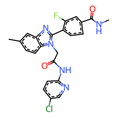 CNC(=O)c1ccc(-c2nc3cc(C)ccc3n2CC(=O)Nc2ccc(Cl)cn2)c(F)c1